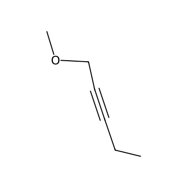 CCC#CCOC